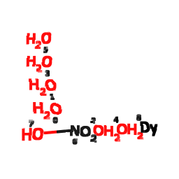 O.O.O.O.O.O.O=[N+]([O-])O.[Dy]